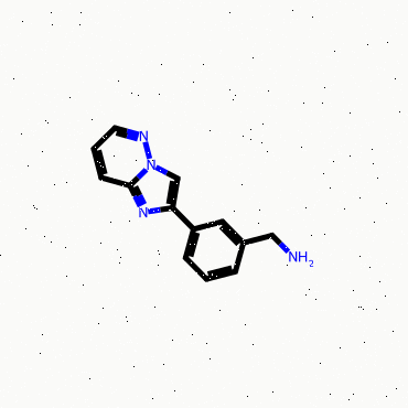 NCc1cccc(-c2cn3ncccc3n2)c1